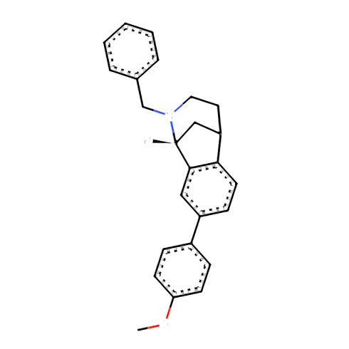 COc1ccc(-c2ccc3c(c2)[C@H]2CC3CCN2Cc2ccccc2)cc1